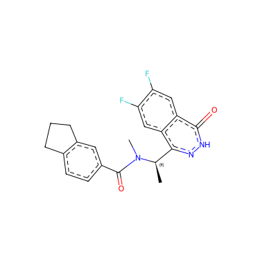 C[C@H](c1n[nH]c(=O)c2cc(F)c(F)cc12)N(C)C(=O)c1ccc2c(c1)CCC2